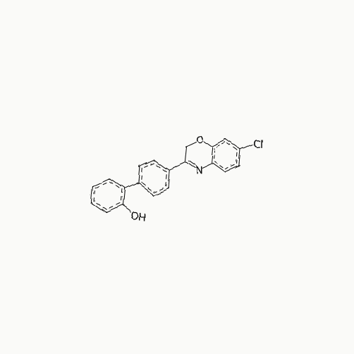 Oc1ccccc1-c1ccc(C2=Nc3ccc(Cl)cc3OC2)cc1